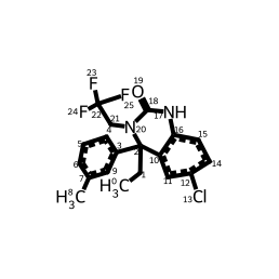 CCC1(c2cccc(C)c2)c2cc(Cl)ccc2NC(=O)N1CC(F)(F)F